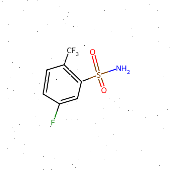 NS(=O)(=O)c1cc(F)ccc1C(F)(F)F